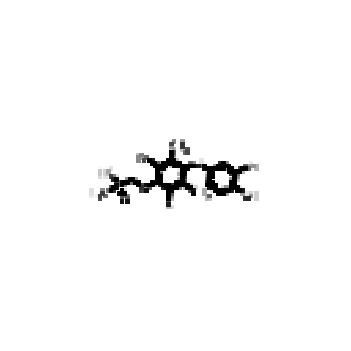 Cc1c(Br)c(OCP(C)(=O)O)c(Br)c(C)c1Oc1ccc(O)c(C(C)C)c1